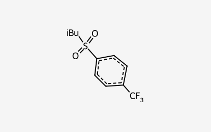 CCC(C)S(=O)(=O)c1ccc(C(F)(F)F)cc1